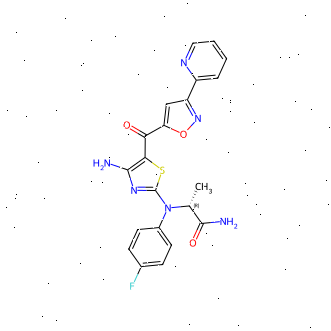 C[C@H](C(N)=O)N(c1ccc(F)cc1)c1nc(N)c(C(=O)c2cc(-c3ccccn3)no2)s1